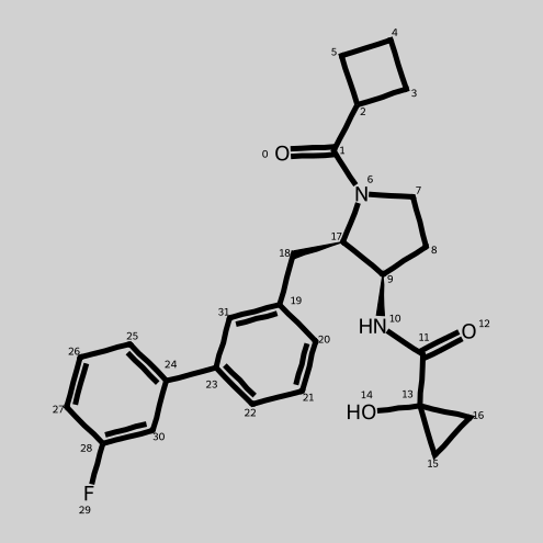 O=C(C1CCC1)N1CC[C@@H](NC(=O)C2(O)CC2)[C@H]1Cc1cccc(-c2cccc(F)c2)c1